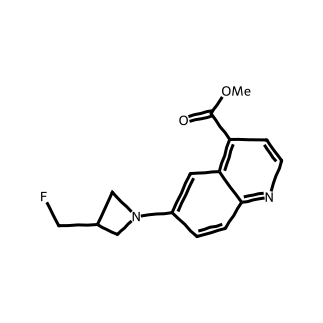 COC(=O)c1ccnc2ccc(N3CC(CF)C3)cc12